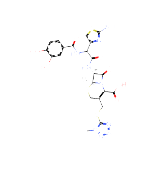 Cn1nnnc1SCC1=C(C(=O)O)N2C(=O)[C@@H](NC(=O)C(NC(=O)c3ccc(O)c(O)c3)c3csc(N)n3)[C@@H]2SC1